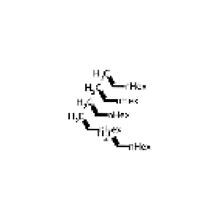 C=CCCCCCC.C=CCCCCCC.C=CCCCCCC.C=CCCCCCC.C=CCCCCCC